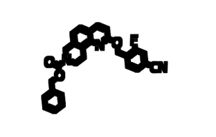 N#Cc1ccc(COc2ccc3ccc4c(c3n2)CCN(C(=O)OCc2ccccc2)C4)c(F)c1